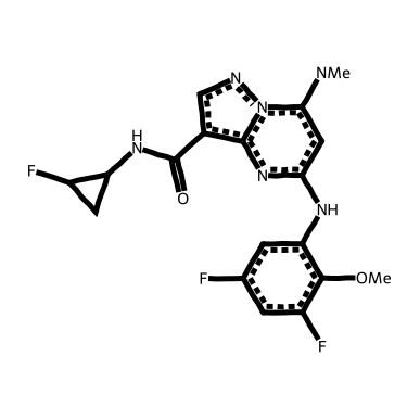 CNc1cc(Nc2cc(F)cc(F)c2OC)nc2c(C(=O)NC3CC3F)cnn12